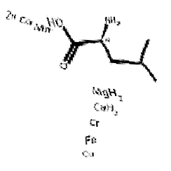 CC(C)C[C@H](N)C(=O)O.[CaH2].[Co].[Cr].[Cu].[Fe].[MgH2].[Mn].[Zn]